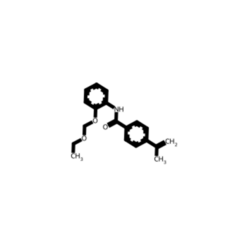 C=C(C)c1ccc(C(=O)Nc2ccccc2OCOCC)cc1